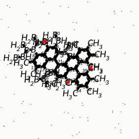 BBB(B)B(B(B)B)c1c(C)c(C)c(B(B)B(B)B)c2c(-c3c(C)c(C)c(C)c4c(-c5c(C)c(C)c(C)c(C)c5C)c5c(C)c(C)c(C)c(C)c5c(C)c34)c(B(B)B)c(BB)c(B)c12